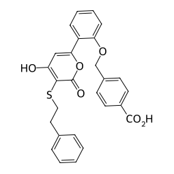 O=C(O)c1ccc(COc2ccccc2-c2cc(O)c(SCCc3ccccc3)c(=O)o2)cc1